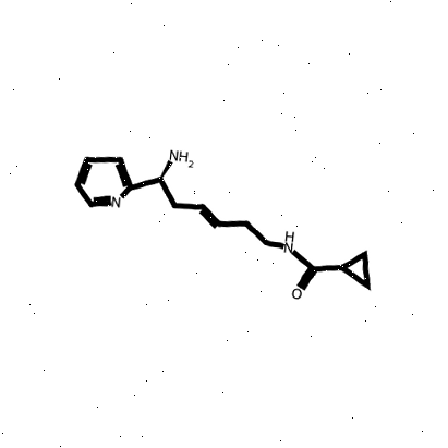 N[C@@H](C/C=C/CCNC(=O)C1CC1)c1ccccn1